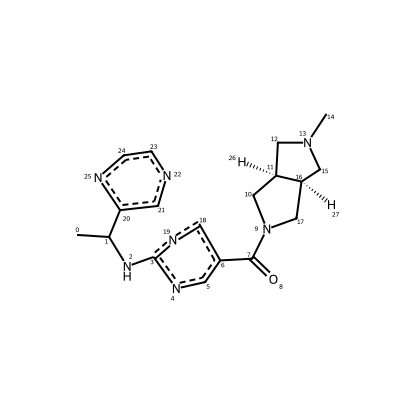 CC(Nc1ncc(C(=O)N2C[C@H]3CN(C)C[C@H]3C2)cn1)c1cnccn1